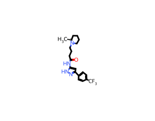 C[C@H]1CCCCN1CCCC(=O)Nc1cc(-c2ccc(C(F)(F)F)cc2)n[nH]1